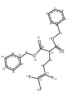 O=C(OCc1ccccc1)C(CCC(F)=C(F)F)C(=O)OCc1ccccc1